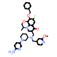 COc1cc(CN(Cc2cn3c4c(c(OCc5ccccc5)c(F)cc4c2=O)OCC3C)[C@H]2CCCN(c3ccc(N)nc3)C2)ccn1